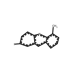 Cc1cccc2cc3cc(I)ccc3nc12